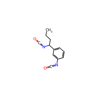 CCCC(N=C=O)c1cccc(N=C=O)c1